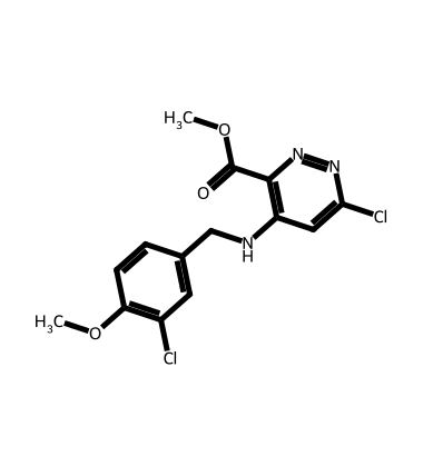 COC(=O)c1nnc(Cl)cc1NCc1ccc(OC)c(Cl)c1